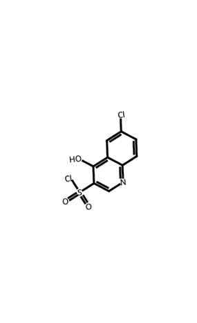 O=S(=O)(Cl)c1cnc2ccc(Cl)cc2c1O